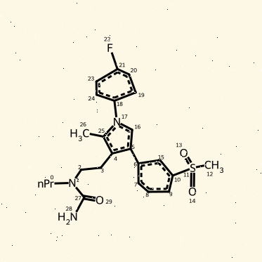 CCCN(CCc1c(-c2cccc(S(C)(=O)=O)c2)cn(-c2ccc(F)cc2)c1C)C(N)=O